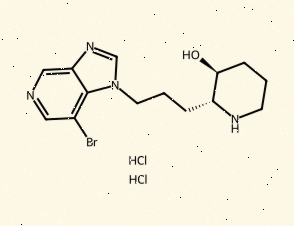 Cl.Cl.O[C@H]1CCCN[C@@H]1CCCn1cnc2cncc(Br)c21